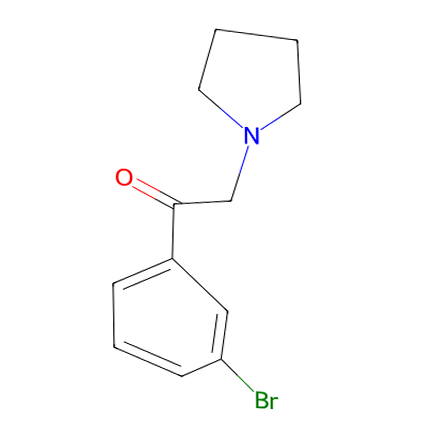 O=C(CN1CCCC1)c1cccc(Br)c1